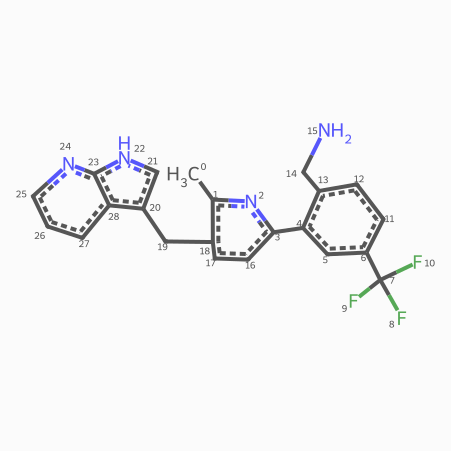 Cc1nc(-c2cc(C(F)(F)F)ccc2CN)ccc1Cc1c[nH]c2ncccc12